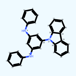 c1ccc(Nc2cc(Nc3ccccc3)cc(-n3c4ccccc4c4ccccc43)c2)cc1